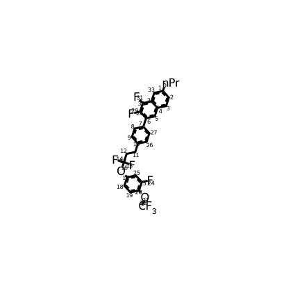 CCCc1ccc2cc(-c3ccc(CCC(F)(F)Oc4ccc(OC(F)(F)F)c(F)c4)cc3)c(F)c(F)c2c1